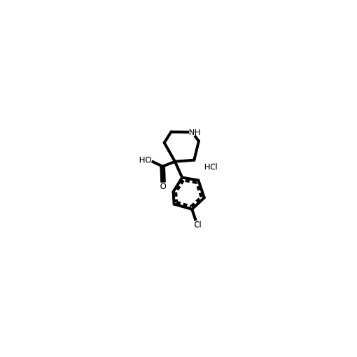 Cl.O=C(O)C1(c2ccc(Cl)cc2)CCNCC1